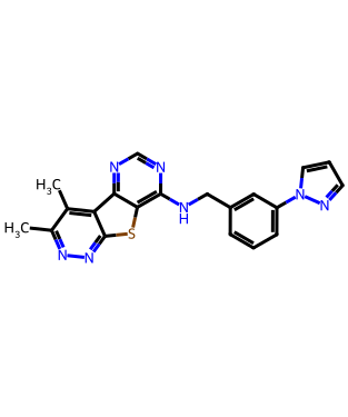 Cc1nnc2sc3c(NCc4cccc(-n5cccn5)c4)ncnc3c2c1C